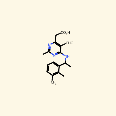 Cc1nc(CC(=O)O)c(C=O)c(NC(C)c2cccc(C(F)(F)F)c2C)n1